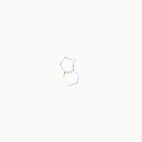 C1COC2=C(N1)NCC2